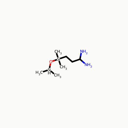 C[SiH](C)O[Si](C)(C)CCC(N)N